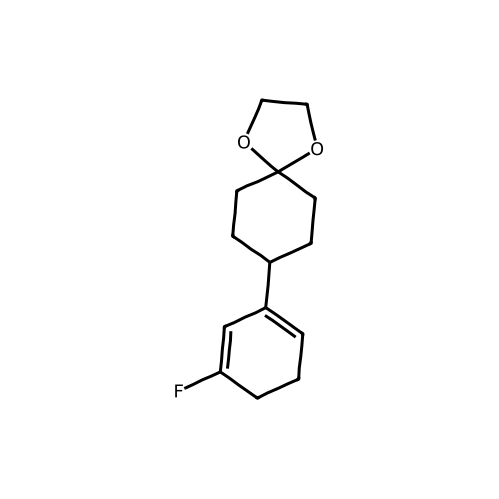 FC1=CC(C2CCC3(CC2)OCCO3)=CCC1